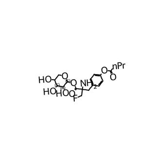 CCCC(=O)Oc1ccc(CC(N)(CF)C(=O)O[C@@H]2OCC(O)[C@H](O)[C@H]2O)cc1